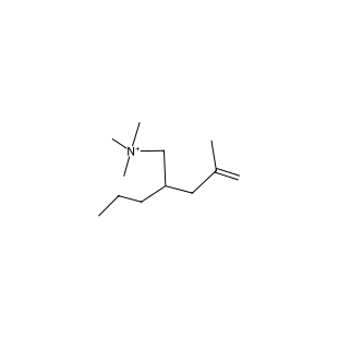 C=C(C)CC(CCC)C[N+](C)(C)C